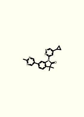 Cc1ncc(-c2ccc3c(c2)N(c2cc(C4CC4)cnn2)C(=O)C3(C)C)cn1